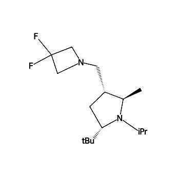 CC(C)N1[C@H](C)[C@@H](CN2CC(F)(F)C2)C[C@H]1C(C)(C)C